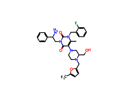 Cc1c(N2CCN(Cc3ccc(C(F)(F)F)o3)C(CO)C2)c(=O)n(C[C@H](N)c2ccccc2)c(=O)n1Cc1ccccc1F